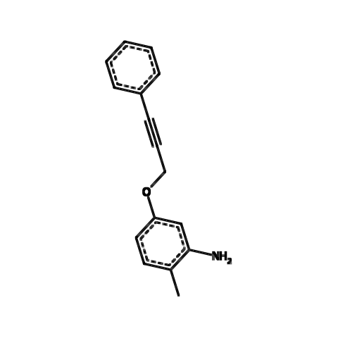 Cc1ccc(OCC#Cc2ccccc2)cc1N